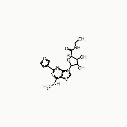 CCNC(=O)[C@@H]1OC(n2cnc3c(NC)nc(-c4ccoc4)nc32)C(O)C1O